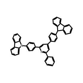 c1ccc(-c2cc(-c3ccc(C4c5ccccc5-c5ccccc54)cc3)cc(-c3ccc(-n4c5ccccc5c5ccccc54)cc3)n2)cc1